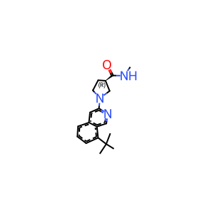 CNC(=O)[C@@H]1CCN(c2cc3cccc(C(C)(C)C)c3cn2)C1